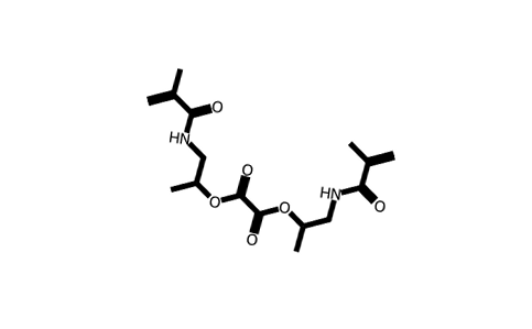 C=C(C)C(=O)NCC(C)OC(=O)C(=O)OC(C)CNC(=O)C(=C)C